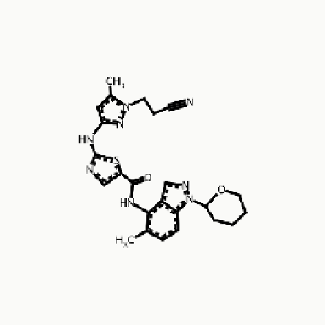 Cc1ccc2c(cnn2C2CCCCO2)c1NC(=O)c1cnc(Nc2cc(C)n(CCC#N)n2)s1